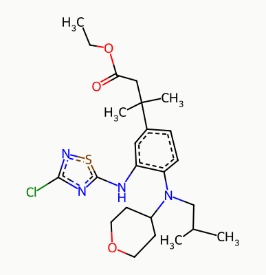 CCOC(=O)CC(C)(C)c1ccc(N(CC(C)C)C2CCOCC2)c(Nc2nc(Cl)ns2)c1